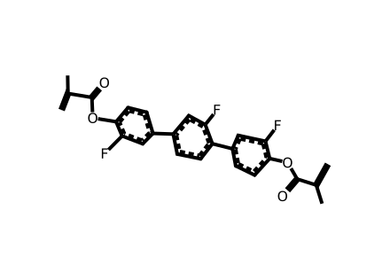 C=C(C)C(=O)Oc1ccc(-c2ccc(-c3ccc(OC(=O)C(=C)C)c(F)c3)c(F)c2)cc1F